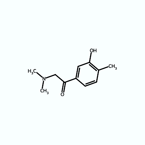 Cc1ccc(C(=O)CN(C)C)cc1O